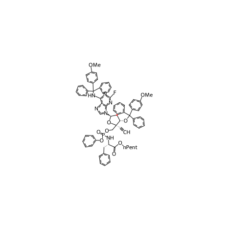 C#C[C@]1(COP(=O)(N[C@@H](Cc2ccccc2)C(=O)OCCCCC)Oc2ccccc2)O[C@@H](n2cnc3c(NC(c4ccccc4)(c4ccccc4)c4ccc(OC)cc4)nc(F)nc32)C[C@@H]1OC(c1ccccc1)(c1ccccc1)c1ccc(OC)cc1